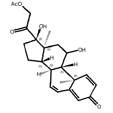 CC(=O)OCC(=O)[C@@]1(O)CC[C@H]2[C@@H]3C=CC4=CC(=O)C=C[C@]4(C)[C@H]3C(O)C[C@@]21C